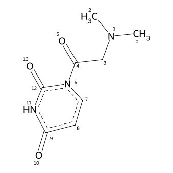 CN(C)CC(=O)n1ccc(=O)[nH]c1=O